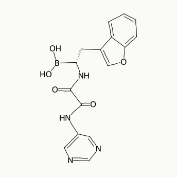 O=C(Nc1cncnc1)C(=O)N[C@@H](Cc1coc2ccccc12)B(O)O